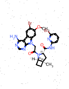 COc1cc2c(cc1Br)c1c(N)ncnc1n2CC(=O)N1[C@H](C(=O)Nc2cccc(Br)n2)C[C@@]2(C)CC[C@@H]12